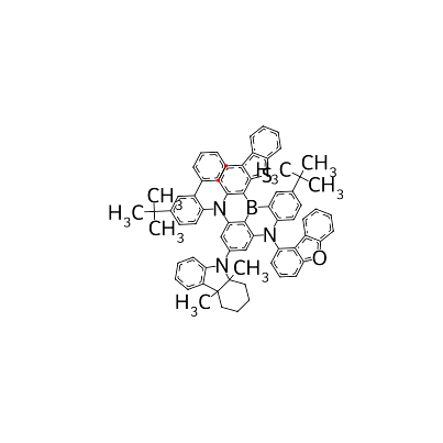 CC(C)(C)c1ccc2c(c1)B1c3c(cc(N4c5ccccc5C5(C)CCCCC45C)cc3N2c2cccc3oc4ccccc4c23)N(c2ccc(C(C)(C)C)cc2-c2ccccc2)c2ccc3c(sc4ccccc43)c21